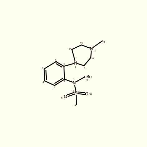 CCCCN(c1ccccc1N1CCN(C)CC1)S(C)(=O)=O